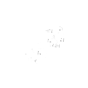 CNc1c(Br)cnc2[nH]c(-c3cc(C)n(C4=CCCC=C4Cl)c3C)nc12